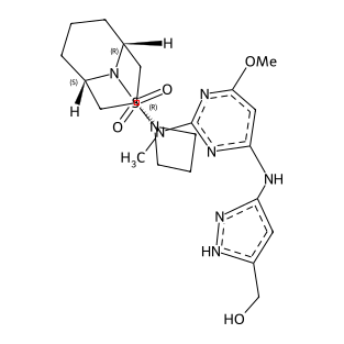 COc1cc(Nc2cc(CO)[nH]n2)nc(N(C)[C@H]2C[C@H]3CCC[C@@H](C2)N3S(=O)(=O)N2CCC2)n1